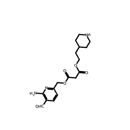 Nc1nc(COC(=O)CC(=O)OCCC2CCNCC2)ccc1C=O